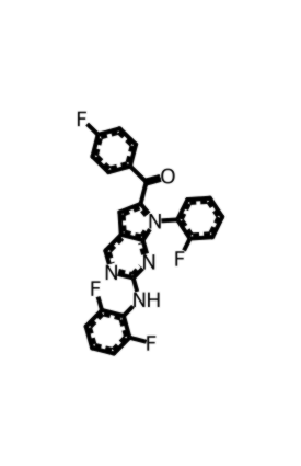 O=C(c1ccc(F)cc1)c1cc2cnc(Nc3c(F)cccc3F)nc2n1-c1ccccc1F